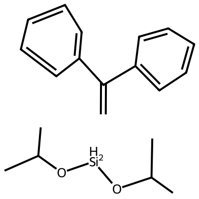 C=C(c1ccccc1)c1ccccc1.CC(C)O[SiH2]OC(C)C